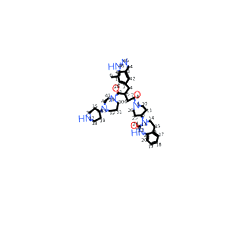 Cc1cc(CC(CC(=O)N2CCC(N3CCc4ccccc4NC3=O)CC2)C(=O)N2CCCN(C3CCNCC3)CC2)cc2cn[nH]c12